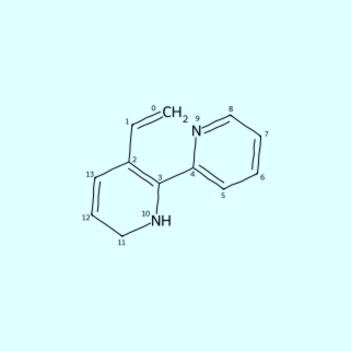 C=CC1=C(c2ccccn2)NCC=C1